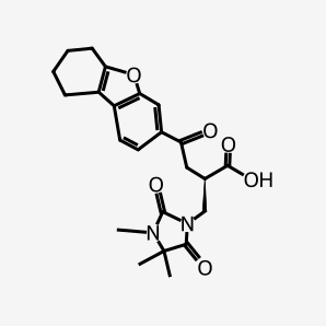 CN1C(=O)N(C[C@@H](CC(=O)c2ccc3c4c(oc3c2)CCCC4)C(=O)O)C(=O)C1(C)C